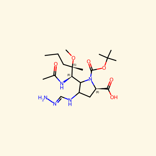 CCC[C@](C)(OC)[C@H](NC(C)=O)C1C(NC=NN)C[C@H](C(=O)O)N1C(=O)OC(C)(C)C